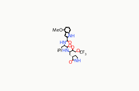 COc1cccc2[nH]c(C(=O)NC(CC(C)C)C(=O)NC(C[C@@H]3CCNC3=O)C(=O)COC(F)(F)F)cc12